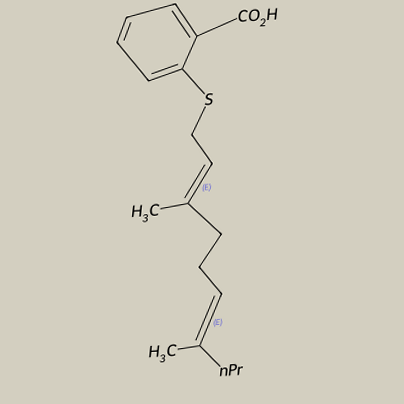 CCC/C(C)=C/CC/C(C)=C/CSc1ccccc1C(=O)O